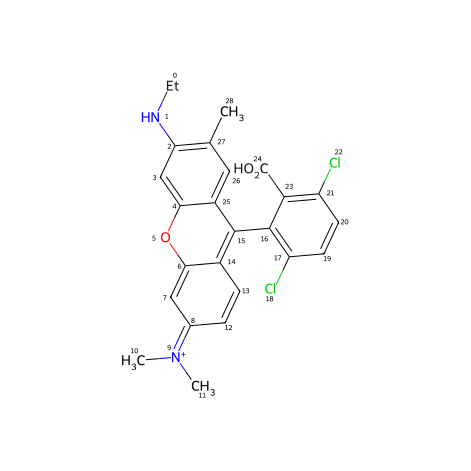 CCNc1cc2oc3cc(=[N+](C)C)ccc-3c(-c3c(Cl)ccc(Cl)c3C(=O)O)c2cc1C